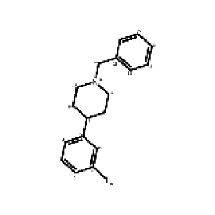 Ic1cccc(C2CCN(Cc3ccccc3)CC2)c1